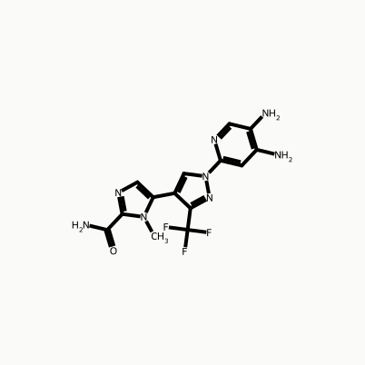 Cn1c(-c2cn(-c3cc(N)c(N)cn3)nc2C(F)(F)F)cnc1C(N)=O